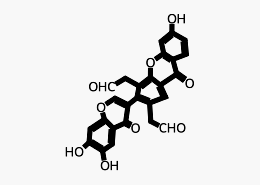 O=CCc1cc2c(=O)c3ccc(O)cc3oc2c(CC=O)c1-c1coc2cc(O)c(O)cc2c1=O